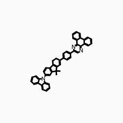 CC1(C)C2=C(CCC(c3ccc(-c4cnc5c6ccccc6c6ccccc6c5n4)cc3)=C2)c2ccc(-n3c4ccccc4c4ccccc43)cc21